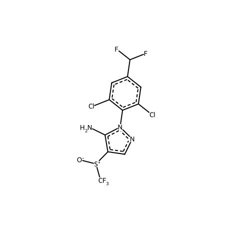 Nc1c([S+]([O-])C(F)(F)F)cnn1-c1c(Cl)cc(C(F)F)cc1Cl